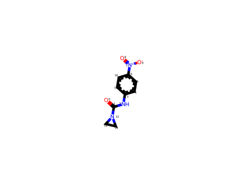 O=C(Nc1ccc([N+](=O)[O-])cc1)N1CC1